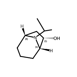 CC(C)N1[C@@H]2CCC[C@H]1[C@@H](O)C2